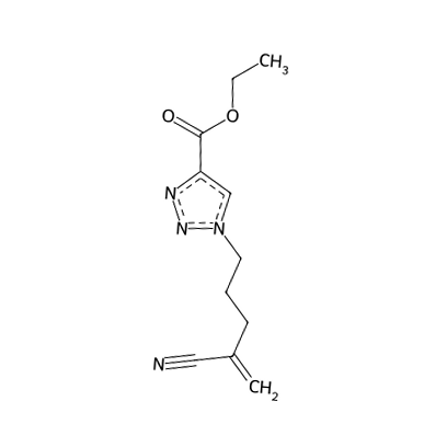 C=C(C#N)CCCn1cc(C(=O)OCC)nn1